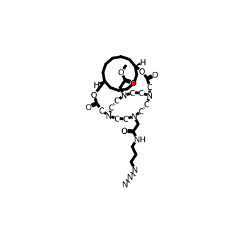 COC(=O)CN1CCN2CCN(CC(=O)NCCCN=[N+]=[N-])CCN(CC1)CC(=O)O[C@H]1CCCCC[C@H](CCCCC1)OC(=O)C2